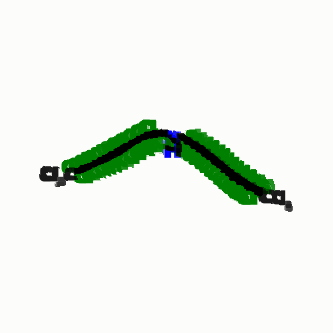 ClC(Cl)(Cl)C(Cl)(Cl)C(Cl)(Cl)C(Cl)(Cl)C(Cl)(Cl)C(Cl)(Cl)C(Cl)(Cl)C(Cl)(Cl)C(Cl)(Cl)C(Cl)(Cl)C(Cl)(Cl)C(Cl)(Cl)C(Cl)(Cl)C(Cl)(Cl)CNCC(Cl)(Cl)C(Cl)(Cl)C(Cl)(Cl)C(Cl)(Cl)C(Cl)(Cl)C(Cl)(Cl)C(Cl)(Cl)C(Cl)(Cl)C(Cl)(Cl)C(Cl)(Cl)C(Cl)(Cl)C(Cl)(Cl)C(Cl)(Cl)C(Cl)(Cl)Cl